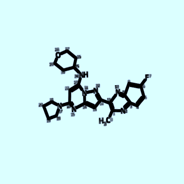 Cc1nc2ccc(F)cc2nc1-c1cc2nc(N3CCCC3)cc(NC3CCOCC3)n2n1